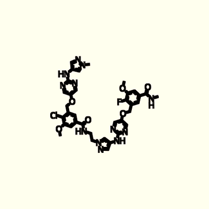 CNC(=O)c1cc(COc2cnc(Nc3cnn(CCNC(=O)c4cc(COc5cnc(Nc6cnn(C)c6)nc5)c(Cl)c(OC)c4)c3)nc2)c(F)c(OC)c1